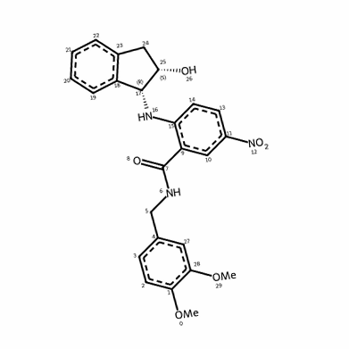 COc1ccc(CNC(=O)c2cc([N+](=O)[O-])ccc2N[C@@H]2c3ccccc3C[C@@H]2O)cc1OC